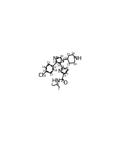 CC(C)NC(=O)c1csc(-c2c(-c3ccc(Cl)cc3)ncn2C2CCNCC2)n1